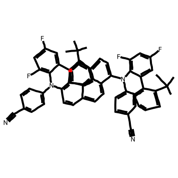 CC(C)(C)c1ccccc1-c1cc(F)cc(F)c1N(c1ccc(C#N)cc1)c1ccc2ccc3c(N(c4ccc(C#N)cc4)c4c(F)cc(F)cc4-c4ccccc4C(C)(C)C)ccc4ccc1c2c43